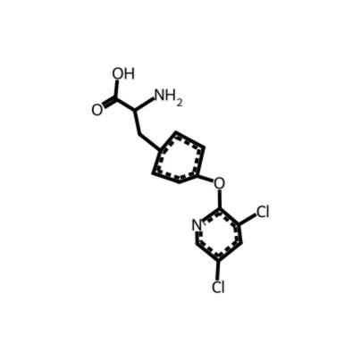 NC(Cc1ccc(Oc2ncc(Cl)cc2Cl)cc1)C(=O)O